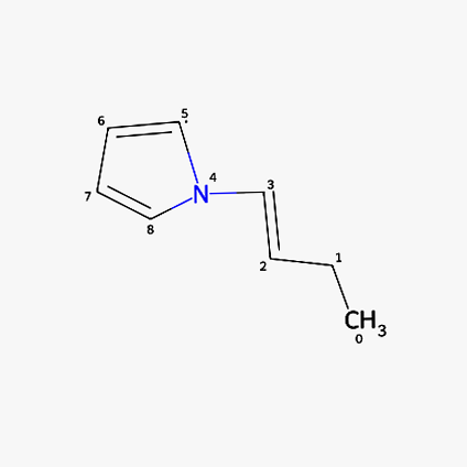 CCC=Cn1[c]ccc1